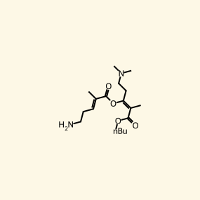 CCCCOC(=O)C(C)=C(CCN(C)C)OC(=O)C(C)=CCCN